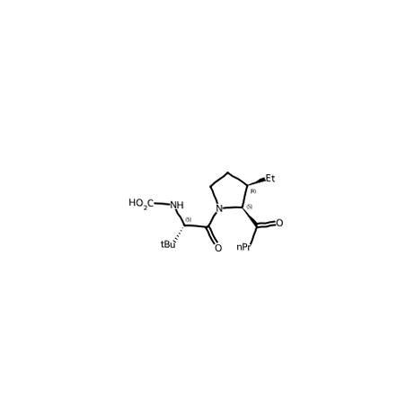 CCCC(=O)[C@@H]1[C@H](CC)CCN1C(=O)[C@@H](NC(=O)O)C(C)(C)C